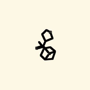 CN1CC2CC(C1)N2C(=O)C1CCOC1